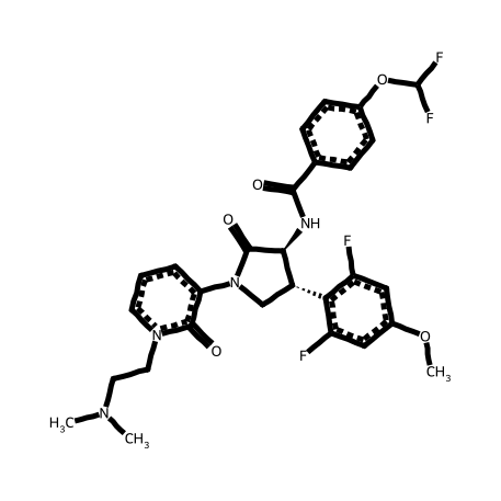 COc1cc(F)c([C@@H]2CN(c3cccn(CCN(C)C)c3=O)C(=O)[C@H]2NC(=O)c2ccc(OC(F)F)cc2)c(F)c1